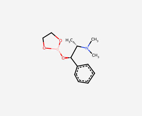 C[C@@H]([C@H](OB1OCCO1)c1ccccc1)N(C)C